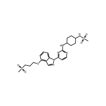 CS(=O)(=O)CCCOc1cccc2c1cnn2-c1ccnc(NC2CCC(NS(C)(=O)=O)CC2)n1